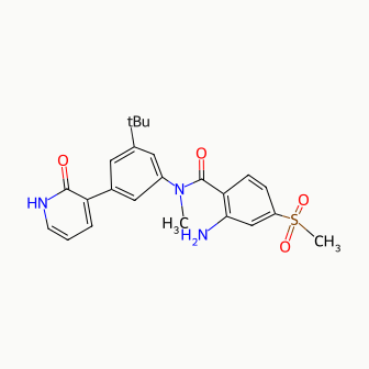 CN(C(=O)c1ccc(S(C)(=O)=O)cc1N)c1cc(-c2ccc[nH]c2=O)cc(C(C)(C)C)c1